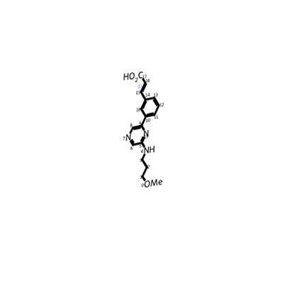 COCCCNc1cncc(-c2cccc(/C=C/C(=O)O)c2)n1